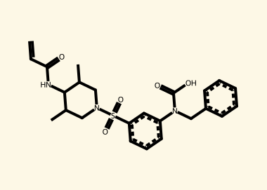 C=CC(=O)NC1C(C)CN(S(=O)(=O)c2cccc(N(Cc3ccccc3)C(=O)O)c2)CC1C